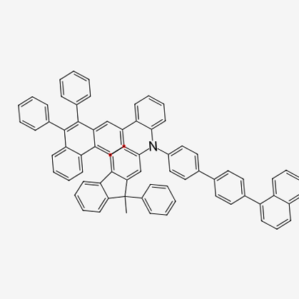 CC1(c2ccccc2)c2ccccc2-c2ccc(N(c3ccc(-c4ccc(-c5cccc6ccccc56)cc4)cc3)c3ccccc3-c3ccc4c(c3)c(-c3ccccc3)c(-c3ccccc3)c3ccccc34)cc21